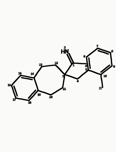 CC(=N)C1(Cc2ccccc2C)CCc2ccccc2CC1